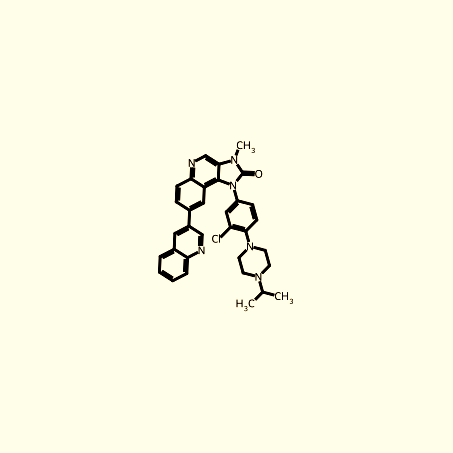 CC(C)N1CCN(c2ccc(-n3c(=O)n(C)c4cnc5ccc(-c6cnc7ccccc7c6)cc5c43)cc2Cl)CC1